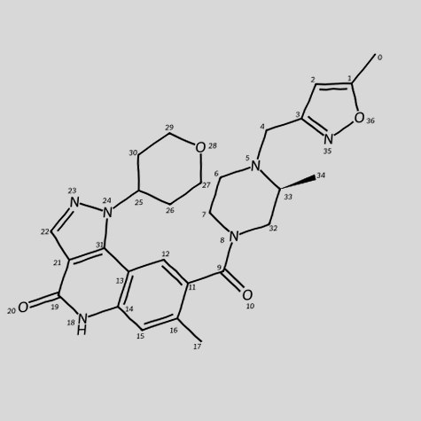 Cc1cc(CN2CCN(C(=O)c3cc4c(cc3C)[nH]c(=O)c3cnn(C5CCOCC5)c34)C[C@@H]2C)no1